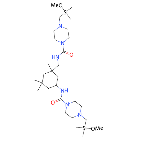 CO[Si](C)(C)CN1CCN(C(=O)NCC2(C)CC(NC(=O)N3CCN(C[Si](C)(C)OC)CC3)CC(C)(C)C2)CC1